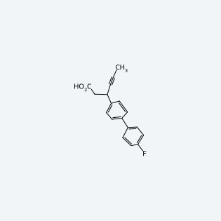 CC#CC(CC(=O)O)c1ccc(-c2ccc(F)cc2)cc1